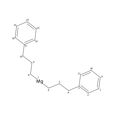 c1ccc(CC[CH2][Mg][CH2]CCc2ccccc2)cc1